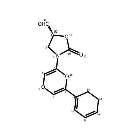 O=C[C@@H]1CN(C2=COC=C(C3=CC=CCC3)O2)C(=O)O1